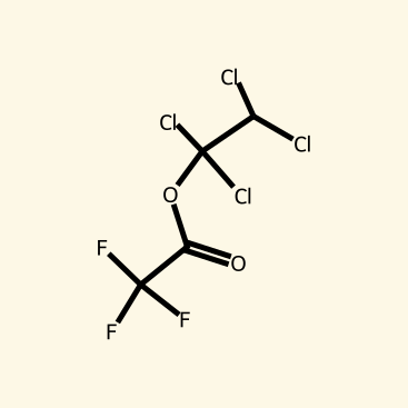 O=C(OC(Cl)(Cl)C(Cl)Cl)C(F)(F)F